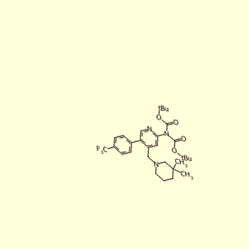 CC1(C)CCCN(Cc2cc(N(C(=O)OC(C)(C)C)C(=O)OC(C)(C)C)ncc2-c2ccc(C(F)(F)F)cc2)C1